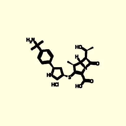 C[C@@H](O)[C@H]1C(=O)N2C(C(=O)O)=C(S[C@@H]3CN[C@@H](c4ccc(C(C)(C)N)cc4)C3)[C@H](C)[C@H]12.Cl